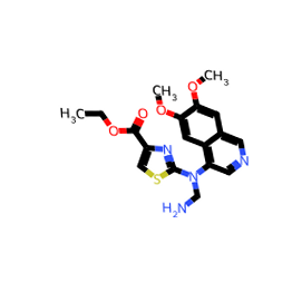 CCOC(=O)c1csc(N(CN)c2cncc3cc(OC)c(OC)cc23)n1